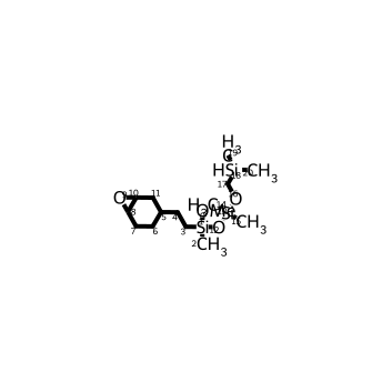 CO[Si](C)(CCC1CCC2OC2C1)O[Si](C)(C)OC[SiH](C)C